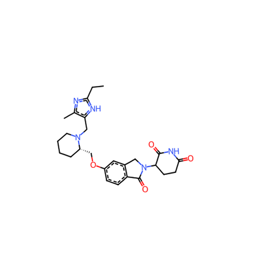 CCc1nc(C)c(CN2CCCC[C@H]2COc2ccc3c(c2)CN(C2CCC(=O)NC2=O)C3=O)[nH]1